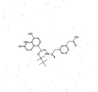 C[C@H](Cc1cccc(CC(=O)O)c1)NC[C@@H](O[Si](C)(C)C(C)(C)C)c1ccc(O)c2[nH]c(=O)ccc12